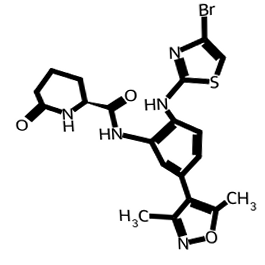 Cc1noc(C)c1-c1ccc(Nc2nc(Br)cs2)c(NC(=O)[C@@H]2CCCC(=O)N2)c1